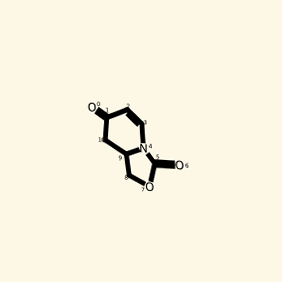 O=C1C=CN2C(=O)OCC2C1